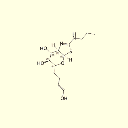 CCCNC1=N[C@@H]2[C@@H](O)[C@H](O)[C@@H](CCC=CO)O[C@@H]2S1